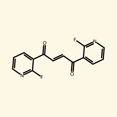 O=C(C=CC(=O)c1cccnc1F)c1cccnc1F